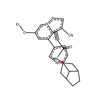 C#CC(=O)NC1CC2CCC(C1)C2c1ccc(-c2cc(OCC)cn3ncc(C#N)c23)cn1